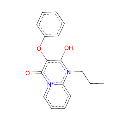 CCCn1c(O)c(Oc2ccccc2)c(=O)[n+]2ccccc12